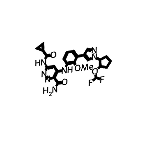 COc1c(Nc2cc(NC(=O)C3CC3)nnc2C(N)=O)cccc1-c1cnn(C2CCCC2OC(F)F)c1